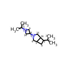 CC(C)C1CC2CN(C3CN(C(C)C)C3)CC21